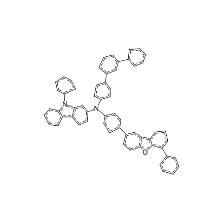 c1ccc(-c2cccc(-c3ccc(N(c4ccc(-c5ccc6oc7c(-c8ccccc8)cccc7c6c5)cc4)c4ccc5c6ccccc6n(-c6ccccc6)c5c4)cc3)c2)cc1